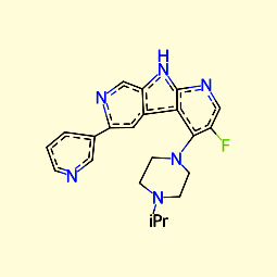 CC(C)N1CCN(c2c(F)cnc3[nH]c4cnc(-c5cccnc5)cc4c23)CC1